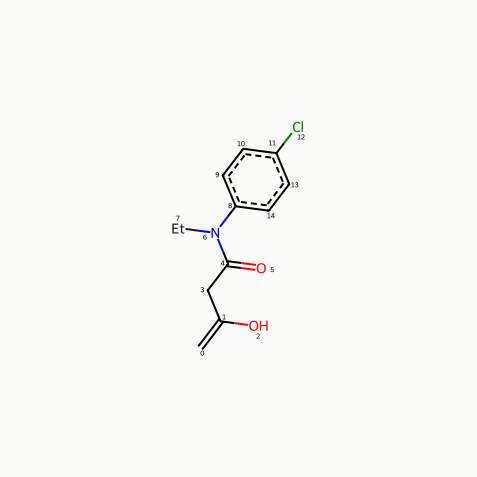 C=C(O)CC(=O)N(CC)c1ccc(Cl)cc1